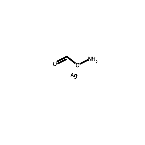 NOC=O.[Ag]